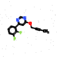 CC#CCOc1cc(-c2cccc(F)c2F)ncn1